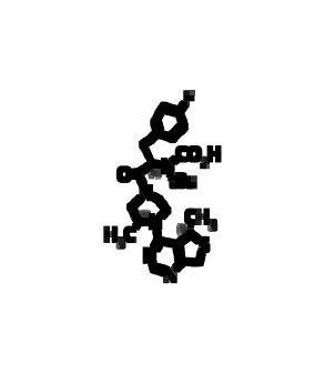 C[C@@H]1SCc2ncnc(N3CCN(C(=O)[C@@H](Cc4ccc(F)cc4)N(C(=O)O)C(C)(C)C)C[C@@H]3C)c21